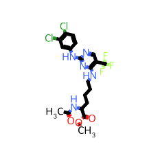 COC(=O)C(CCCCNc1nc(Nc2ccc(Cl)c(Cl)c2)ncc1C(F)(F)F)NC(C)=O